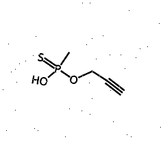 C#CCOP(C)(O)=S